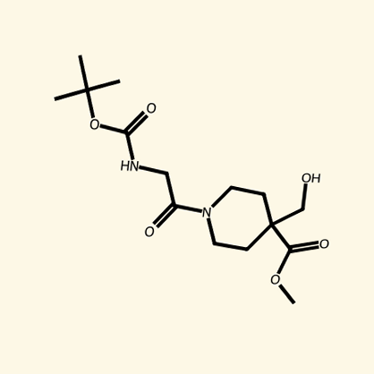 COC(=O)C1(CO)CCN(C(=O)CNC(=O)OC(C)(C)C)CC1